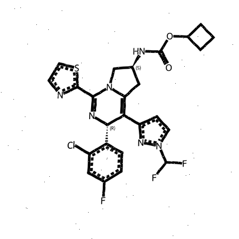 O=C(N[C@H]1CC2=C(c3ccn(C(F)F)n3)[C@H](c3ccc(F)cc3Cl)N=C(c3nccs3)N2C1)OC1CCC1